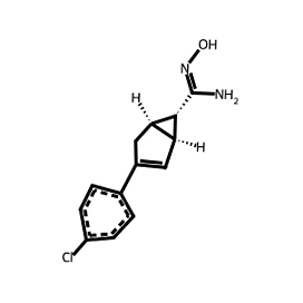 N/C(=N\O)[C@@H]1[C@H]2C=C(c3ccc(Cl)cc3)C[C@H]21